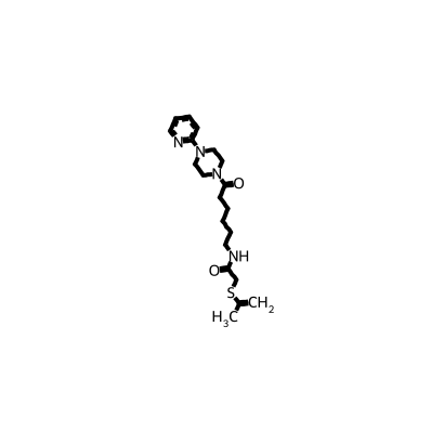 C=C(C)SCC(=O)NCCCCCC(=O)N1CCN(c2ccccn2)CC1